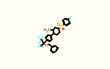 CC1CC(S(=O)(=O)c2ccc(F)cc2)CCC1c1ccc(C(OCc2ccccc2)(C(F)(F)F)C(F)(F)F)cc1